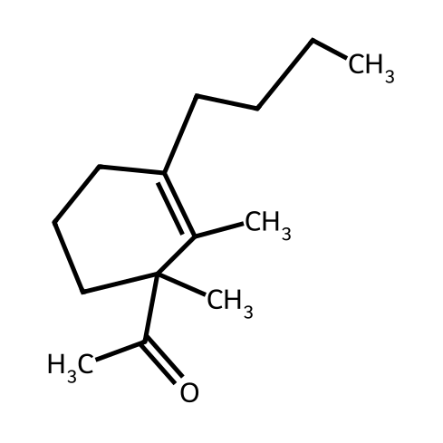 CCCCC1=C(C)C(C)(C(C)=O)CCC1